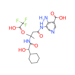 CC(C)(CC(=O)Nc1cncc(C(=O)O)c1N)NC(=O)C(O)C1CCCCC1.O=C(O)C(F)(F)F